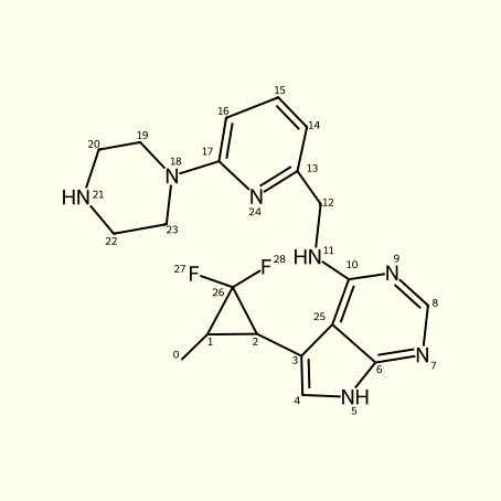 CC1C(c2c[nH]c3ncnc(NCc4cccc(N5CCNCC5)n4)c23)C1(F)F